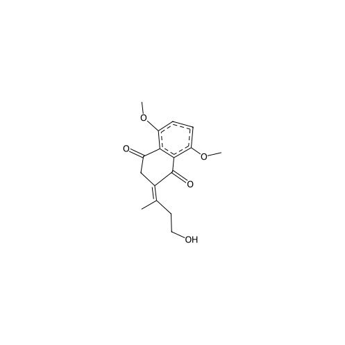 COc1ccc(OC)c2c1C(=O)CC(=C(C)CCO)C2=O